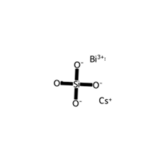 [Bi+3].[Cs+].[O-][Si]([O-])([O-])[O-]